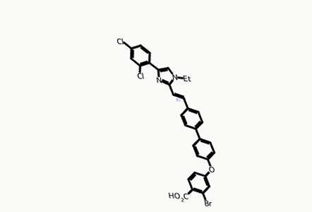 CCn1cc(-c2ccc(Cl)cc2Cl)nc1/C=C/c1ccc(-c2ccc(Oc3ccc(C(=O)O)c(Br)c3)cc2)cc1